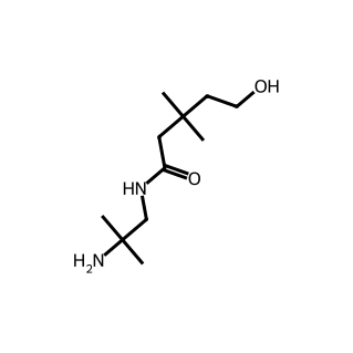 CC(C)(N)CNC(=O)CC(C)(C)CCO